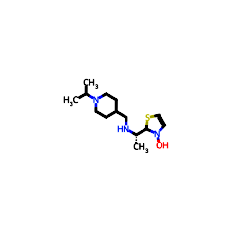 CC(C)N1CCC(CN[C@@H](C)C2SC=CN2O)CC1